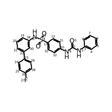 O=C(Nc1ccccc1)Nc1ccc(S(=O)(=O)Nc2cccc(-c3ccc(F)cc3)c2)cc1